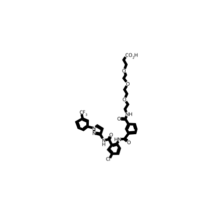 O=C(O)CCOCCOCCOCCNC(=O)c1cccc(C(=O)Nc2ccc(Cl)cc2C(=O)Nc2ccn(-c3cccc(C(F)(F)F)c3)n2)c1